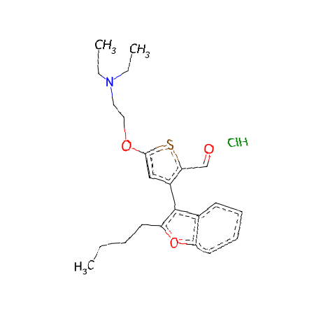 CCCCc1oc2ccccc2c1-c1cc(OCCN(CC)CC)sc1C=O.Cl